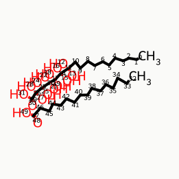 CCCCCCCCCCCC(O)(O)C(O)(O)C(O)(O)C(O)(O)C(O)(O)C(O)(O)C(=O)O.CCCCCCCCCCCCCCCC(=O)O